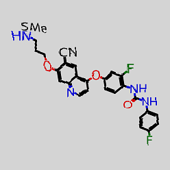 CSNCCCOc1cc2nccc(Oc3ccc(NC(=O)Nc4ccc(F)cc4)c(F)c3)c2cc1C#N